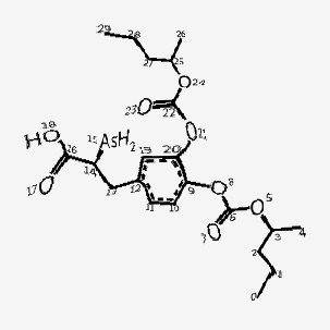 CCCC(C)OC(=O)Oc1ccc(C[C@H]([AsH2])C(=O)O)cc1OC(=O)OC(C)CCC